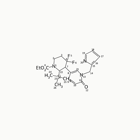 CCOC(=O)N1CCC(F)(F)C(c2ccc(=O)n(Cc3ccccn3)c2)C1[Si](C)(C)C